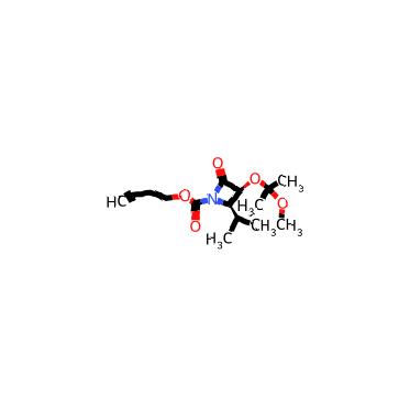 C#CCCOC(=O)N1C(=O)[C@@H](OC(C)(C)OC)[C@H]1C(C)C